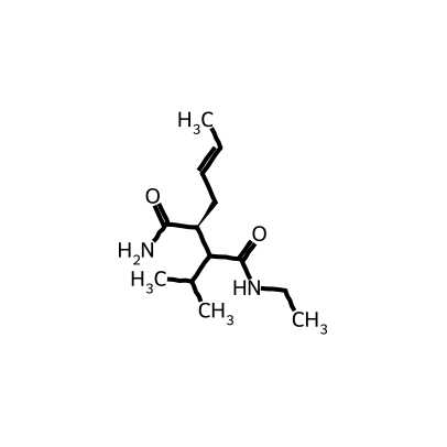 C/C=C/C[C@H](C(N)=O)C(C(=O)NCC)C(C)C